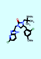 COc1ccc(CC2CN(Cc3nc4nc(Cl)ccc4[nH]3)C(=O)N2CC(C)(C)NC(C)=O)c(Cl)c1